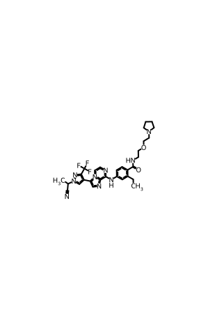 CCc1cc(Nc2nccn3c(-c4cn(C(C)C#N)nc4C(F)(F)F)cnc23)ccc1C(=O)NCCOCCN1CCCC1